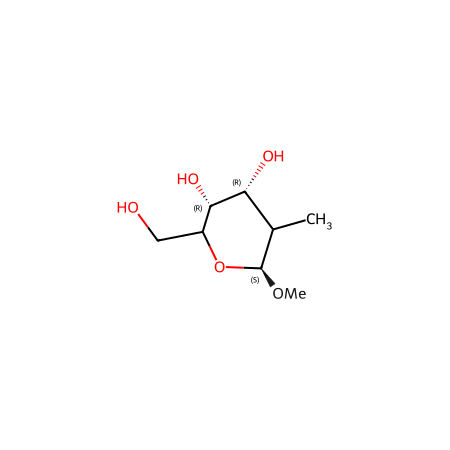 CO[C@H]1OC(CO)[C@H](O)[C@H](O)C1C